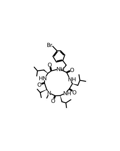 CC(C)C[C@@H]1NC(=O)[C@H](Cc2ccc(Br)cc2)NC(=O)[C@H](CC(C)C)NC(=O)[C@H](C(C)C)N(C)C(=O)[C@H](CC(C)C)NC1=O